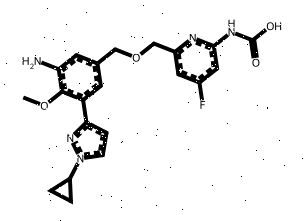 COc1c(N)cc(COCc2cc(F)cc(NC(=O)O)n2)cc1-c1ccn(C2CC2)n1